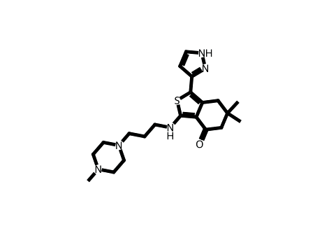 CN1CCN(CCCNc2sc(-c3cc[nH]n3)c3c2C(=O)CC(C)(C)C3)CC1